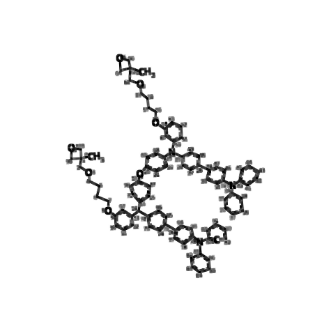 CC1(COCCCCOc2cccc(C(c3ccc(Oc4ccc(N(c5ccc(-c6ccc(N(c7ccccc7)c7ccccc7)cc6)cc5)c5cccc(OCCCCOCC6(C)COC6)c5)cc4)cc3)c3ccc(-c4ccc(N(c5ccccc5)c5ccccc5)cc4)cc3)c2)COC1